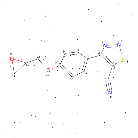 N#Cc1snnc1-c1ccc(OCC2CO2)cc1